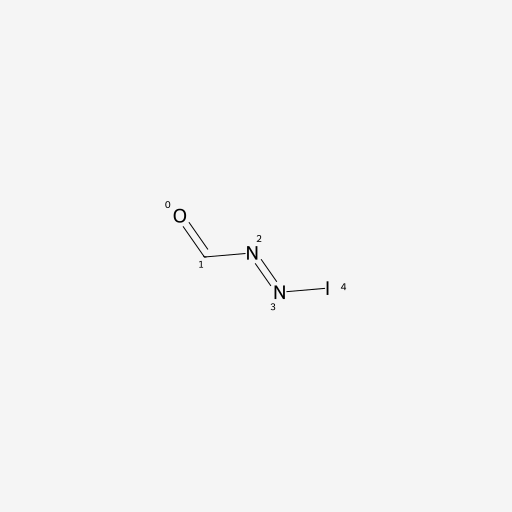 O=CN=NI